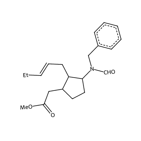 CC/C=C/CC1C(CC(=O)OC)CCC1N(C=O)Cc1ccccc1